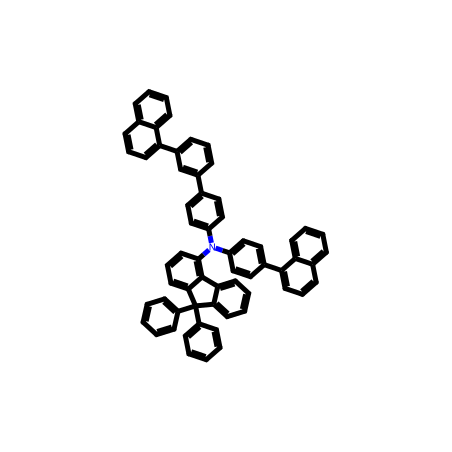 c1ccc(C2(c3ccccc3)c3ccccc3-c3c(N(c4ccc(-c5cccc(-c6cccc7ccccc67)c5)cc4)c4ccc(-c5cccc6ccccc56)cc4)cccc32)cc1